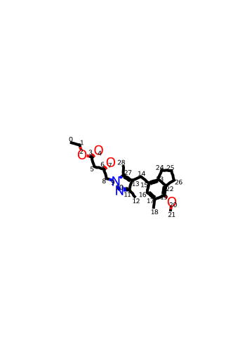 CCOC(=O)CC(=O)Cn1nc(C)c(Cc2cc(C)c(OC)c3c2CCC3)c1C